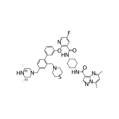 Cc1cc(C)n2ncc(C(=O)N[C@H]3CC[C@@H](NC(=O)c4cc(F)cnc4Oc4cccc(-c5ccc(CN6C[C@@H](C)N[C@@H](C)C6)cc5CN5CCSCC5)c4)CC3)c2n1